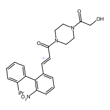 CC(C)c1ccccc1-c1c([N+](=O)[O-])[c]ccc1/C=C/C(=O)N1CCN(C(=O)CO)CC1